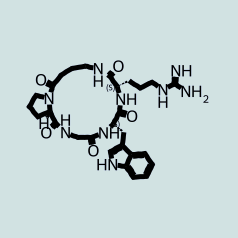 N=C(N)NCCC[C@@H]1NC(=O)[C@H](Cc2c[nH]c3ccccc23)NC(=O)CNC(=O)[C@@H]2CCCN2C(=O)CCCNC1=O